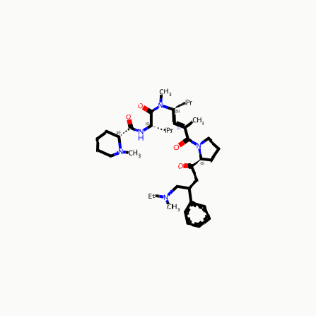 CCN(C)CC(CC(=O)[C@@H]1CCCN1C(=O)/C(C)=C/[C@H](C(C)C)N(C)C(=O)[C@@H](NC(=O)[C@H]1CCCCN1C)C(C)C)c1ccccc1